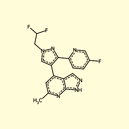 Cc1cc(-c2cn(CC(F)F)nc2-c2ccc(F)cn2)c2cn[nH]c2n1